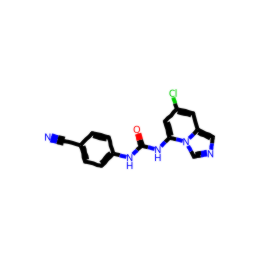 N#Cc1ccc(NC(=O)Nc2cc(Cl)cc3cncn23)cc1